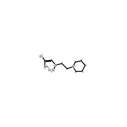 CC/C(N)=C/N(N)CCN1CCCCC1